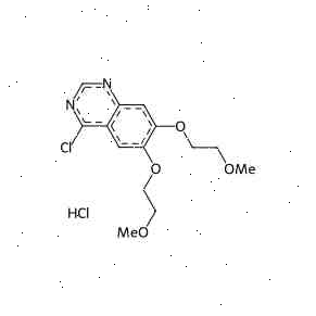 COCCOc1cc2ncnc(Cl)c2cc1OCCOC.Cl